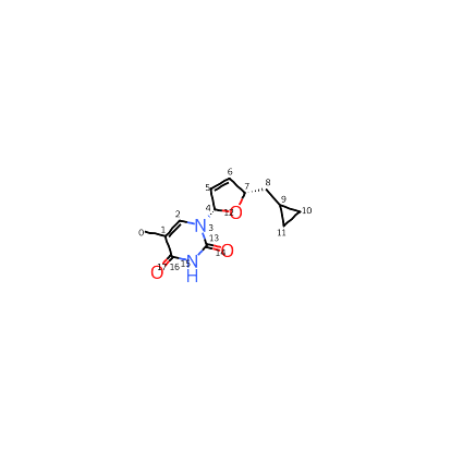 Cc1cn([C@@H]2C=C[C@H](CC3CC3)O2)c(=O)[nH]c1=O